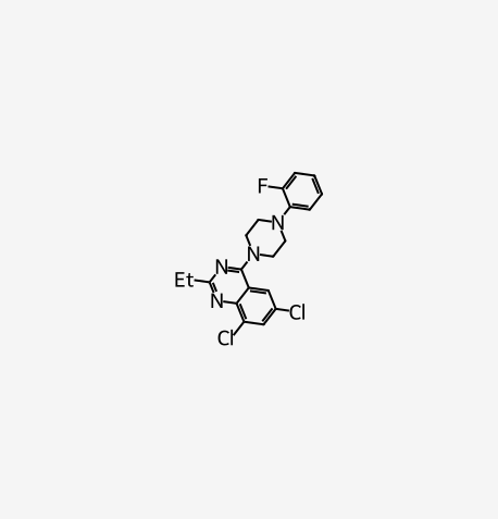 CCc1nc(N2CCN(c3ccccc3F)CC2)c2cc(Cl)cc(Cl)c2n1